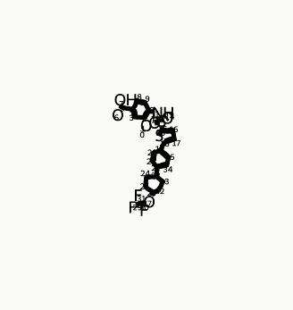 COc1cc(C(=O)O)ccc1NS(=O)(=O)c1ccc(-c2ccc(C3CCC(OC(F)(F)F)CC3)cc2)s1